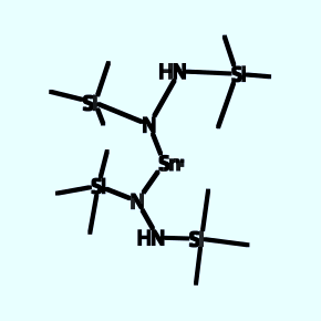 C[Si](C)(C)N[N]([Sn][N](N[Si](C)(C)C)[Si](C)(C)C)[Si](C)(C)C